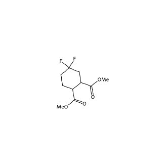 COC(=O)C1CCC(F)(F)CC1C(=O)OC